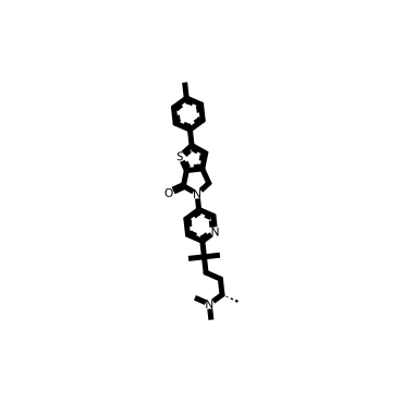 Cc1ccc(-c2cc3c(s2)C(=O)N(c2ccc(C(C)(C)CC[C@H](C)N(C)C)nc2)C3)cc1